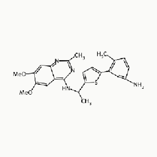 COc1cc2nc(C)nc(NC(C)c3ccc(-c4cc(N)ccc4C)s3)c2cc1OC